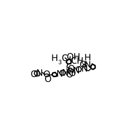 Cc1cc(C[C@@H](OC(=O)N2CCC(N3CCc4ccccc4NC3=O)CC2)C(=O)N2CCN(c3ccc(C(=O)OCCN4CCOCC4)cc3)CC2)cc(C)c1O